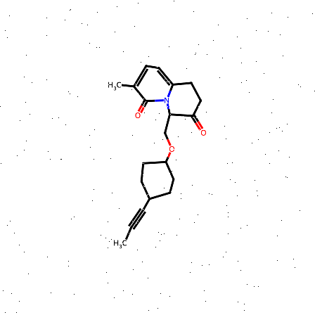 CC#CC1CCC(OCC2C(=O)CCc3ccc(C)c(=O)n32)CC1